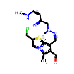 CN/C=C\C(=N)CN(C)/N=C\c1c(C=O)c(C)n2cc(CCl)sc12